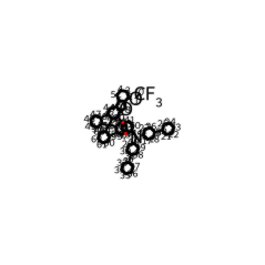 FC(F)(F)Oc1cccc2c1oc1c(-c3ccc(N(c4ccc(-c5ccccc5)cc4)c4ccc(-c5ccccc5)cc4)cc3)c3c(cc12)-c1ccccc1C31c2ccccc2-c2ccccc21